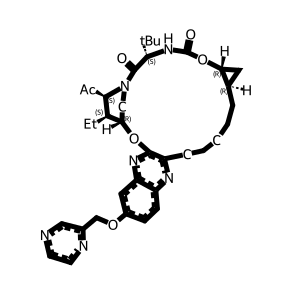 CC[C@@H]1[C@@H]2CN(C(=O)[C@H](C(C)(C)C)NC(=O)O[C@@H]3C[C@H]3CCCCCc3nc4ccc(OCc5cnccn5)cc4nc3O2)[C@@H]1C(C)=O